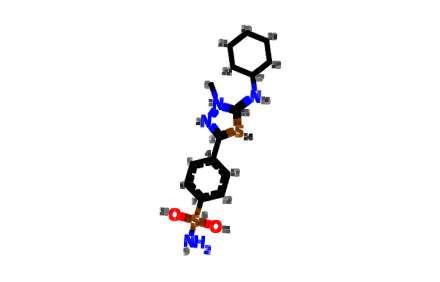 Cn1nc(-c2ccc(S(N)(=O)=O)cc2)s/c1=N/C1CCCCC1